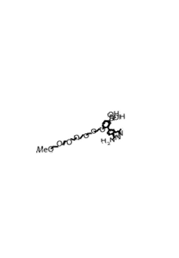 COCCOCCOCCOCCOCCOCCOc1ccc(B(O)O)cc1-c1ccc2c(N)nnc(C)c2c1